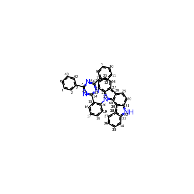 c1ccc(-c2nc(-c3ccccc3)nc(-c3ccccc3-n3c4ccccc4c4ccc5[nH]c6ccccc6c5c43)n2)cc1